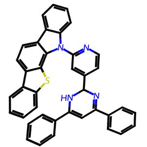 C1=C(c2ccccc2)NC(c2ccnc(-n3c4ccccc4c4ccc5c6ccccc6sc5c43)c2)N=C1c1ccccc1